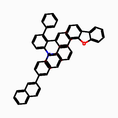 c1ccc(-c2ccccc2-c2c(-c3ccccc3)cccc2N(c2ccc(-c3ccc4ccccc4c3)cc2)c2cccc(-c3cccc4c3oc3ccccc34)c2)cc1